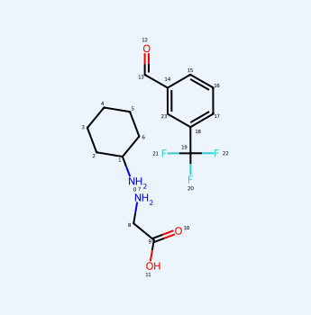 NC1CCCCC1.NCC(=O)O.O=Cc1cccc(C(F)(F)F)c1